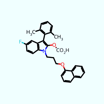 Cc1cccc(C)c1-c1c(OC(=O)O)n(CCCOc2cccc3ccccc23)c2ccc(F)cc12